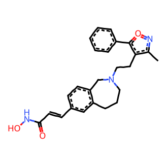 Cc1noc(-c2ccccc2)c1CCN1CCCc2cc(/C=C/C(=O)NO)ccc2C1